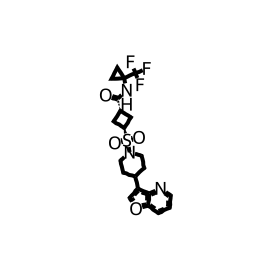 O=C(NC1(C(F)(F)F)CC1)[C@H]1C[C@H](S(=O)(=O)N2CCC(c3coc4cccnc34)CC2)C1